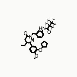 CCC1CC(=O)N(Cc2cccc(NC(=O)C(F)(F)C(F)(F)F)c2)N=C1c1ccc(OC)c(OC2CCCC2)c1